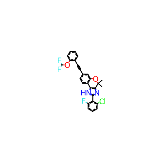 CC1(C)Oc2cc(C#Cc3ccccc3OC(F)F)ccc2-c2[nH]c(-c3c(F)cccc3Cl)nc21